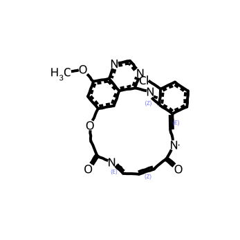 COc1cc2cc3c(ncnc13)/N=c1\c(Cl)ccc\c1=C/[N]C(=O)/C=C\C=N\C(=O)CO2